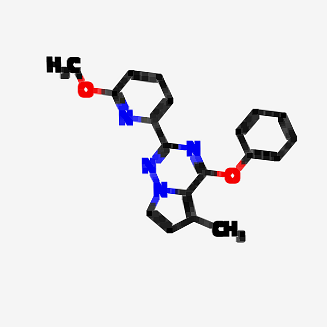 COc1cccc(-c2nc(Oc3ccccc3)c3c(C)ccn3n2)n1